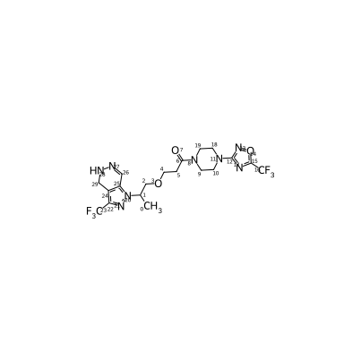 CC(COCCC(=O)N1CCN(c2noc(C(F)(F)F)n2)CC1)n1nc(C(F)(F)F)c2c1C=NNC2